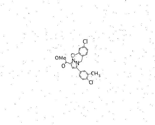 COC(=O)c1cc(-c2ccc(Cl)c(C)c2)n(Cc2ccc(Cl)cc2Cl)n1